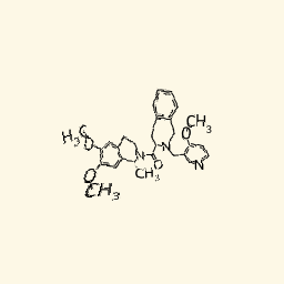 COc1ccncc1CN1Cc2ccccc2CC1C(=O)N1CCc2cc(OC)c(OC)cc2[C@H]1C